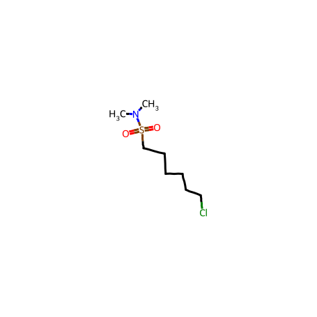 CN(C)S(=O)(=O)CCCCCCCl